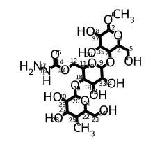 COC1OC(CO)C(OC2OC(COC(=O)NN)C(OC3OC(CO)C(C)C(O)C3O)C(O)C2O)C(O)C1O